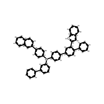 c1ccc(-c2cccc(N(c3ccc(-c4ccc(-c5ccccc5)c(-c5cc6ccccc6o5)c4)cc3)c3ccc(-c4ccc5ccccc5c4)cc3)c2)cc1